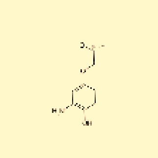 CO[C@H](C)COc1ccc(O)c(N)c1